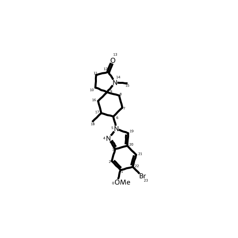 COc1cc2nn(C3CCC4(CCC(=O)N4C)CC3C)cc2cc1Br